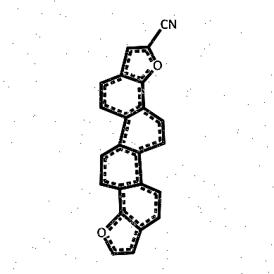 N#Cc1cc2ccc3c4ccc5c(ccc6ccoc65)c4ccc3c2o1